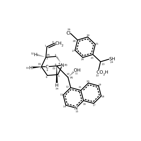 C=C[C@H]1C[N@]2CC[C@H]1C[C@H]2[C@H](O)c1ccnc2ccccc12.O=C(O)C(S)c1ccc(Cl)cc1